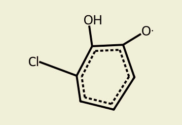 [O]c1cccc(Cl)c1O